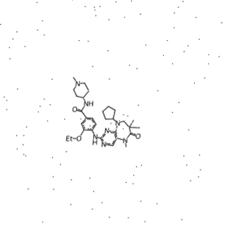 CCOc1cc(C(=O)NC2CCN(C)CC2)ccc1Nc1ncc2c(n1)N(C1CCCC1)CC(C)(C)C(=O)N2C